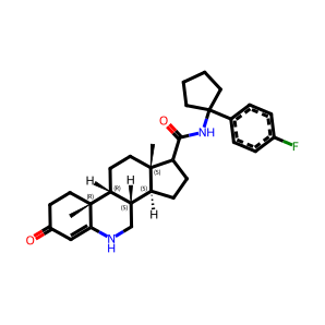 C[C@]12CCC(=O)C=C1NC[C@@H]1[C@H]2CC[C@]2(C)C(C(=O)NC3(c4ccc(F)cc4)CCCC3)CC[C@@H]12